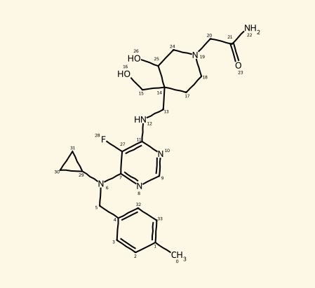 Cc1ccc(CN(c2ncnc(NCC3(CO)CCN(CC(N)=O)CC3O)c2F)C2CC2)cc1